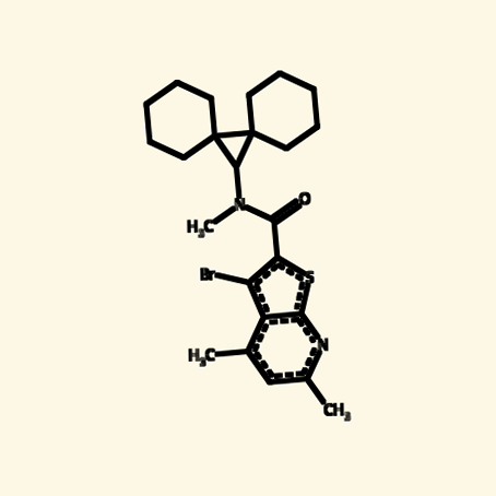 Cc1cc(C)c2c(Br)c(C(=O)N(C)C3C4(CCCCC4)C34CCCCC4)sc2n1